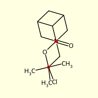 CC(C)(C)OC(=O)C1C2CC1CN(CCCl)C2